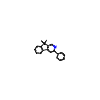 C[Si]1(C)c2ccccc2-c2cc(-c3ccccc3)ncc21